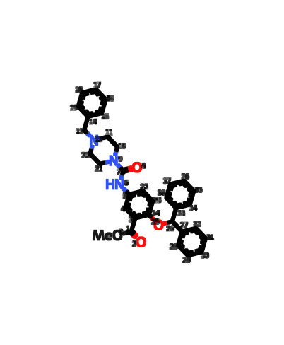 COC(=O)c1cc(NC(=O)N2CCN(Cc3ccccc3)CC2)ccc1OC(c1ccccc1)c1ccccc1